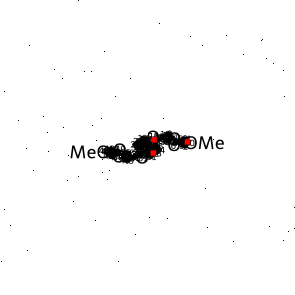 COc1ccc(C(=O)Oc2ccc(/C=C/C(=O)Oc3ccc4ccccc4c3-c3c(OC(=O)/C=C/c4ccc(OC(=O)c5ccc(OC)cc5)cc4)ccc4ccccc34)cc2)cc1